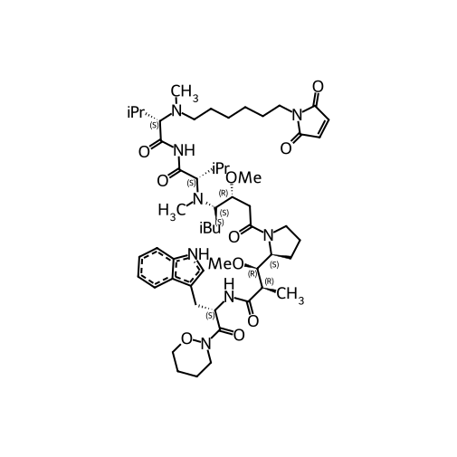 CC[C@H](C)[C@@H]([C@@H](CC(=O)N1CCC[C@H]1[C@H](OC)[C@@H](C)C(=O)N[C@@H](Cc1c[nH]c2ccccc12)C(=O)N1CCCCO1)OC)N(C)[C@H](C(=O)NC(=O)[C@H](C(C)C)N(C)CCCCCCN1C(=O)C=CC1=O)C(C)C